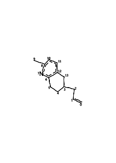 C=CCC1CCc2nc(C)ccc2C1